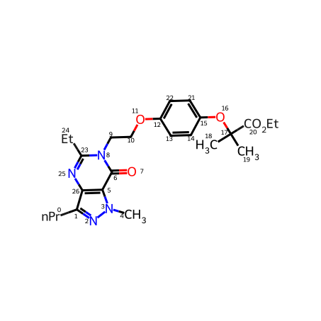 CCCc1nn(C)c2c(=O)n(CCOc3ccc(OC(C)(C)C(=O)OCC)cc3)c(CC)nc12